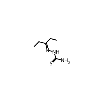 CCC(CC)=NNC(N)=S